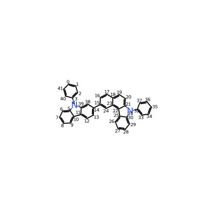 c1ccc(-n2c3ccccc3c3ccc(-c4ccc5ccc6c(c5c4)c4ccccc4n6-c4ccccc4)cc32)cc1